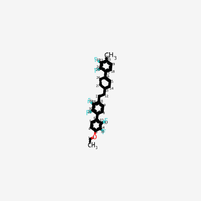 CCOc1ccc(-c2ccc(CCC3CC=C(c4ccc(C)c(F)c4F)CC3)c(F)c2F)c(F)c1F